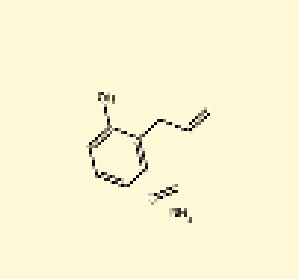 C=CCc1ccccc1O.C=O.N